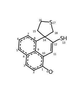 [O]c1ccc2cccc3c2c1C=C(S)C31CCSC1